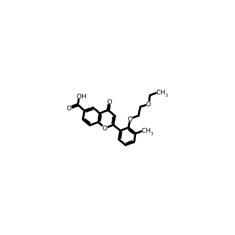 CCOCCOc1c(C)cccc1-c1cc(=O)c2cc(C(=O)O)ccc2o1